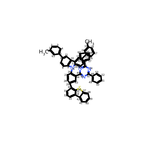 Cc1cccc(-c2ccc3c(c2)c2cc(-c4cccc(C)c4)ccc2n3-c2ccc(-c3cccc4c3sc3ccccc34)cc2-c2nc(-c3ccccc3)nc(-c3ccccc3)n2)c1